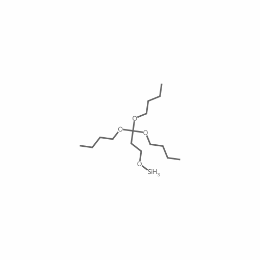 CCCCOC(CCO[SiH3])(OCCCC)OCCCC